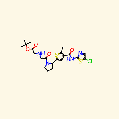 Cc1sc(C2CCCN2C(=O)CNCC(=O)OC(C)(C)C)cc1C(=O)Nc1ncc(Cl)s1